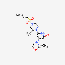 COCCS(=O)(=O)N1CCN(c2cc(N3CCOC[C@H]3C)cc(=O)[nH]2)C(C(F)(F)F)C1